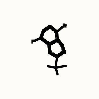 CC(C)(C)c1cc2c(F)ccc(Br)c2cn1